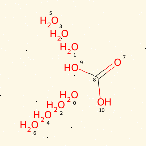 O.O.O.O.O.O.O.O=C(O)O